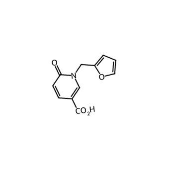 O=C(O)c1ccc(=O)n(Cc2ccco2)c1